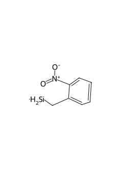 O=[N+]([O-])c1ccccc1C[SiH2]